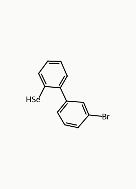 [SeH]c1ccccc1-c1cccc(Br)c1